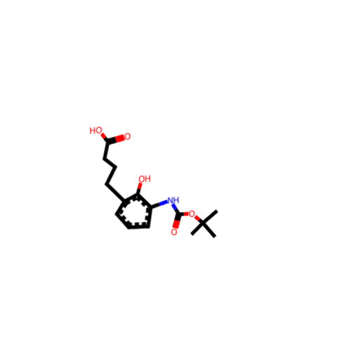 CC(C)(C)OC(=O)Nc1cccc(CCCC(=O)O)c1O